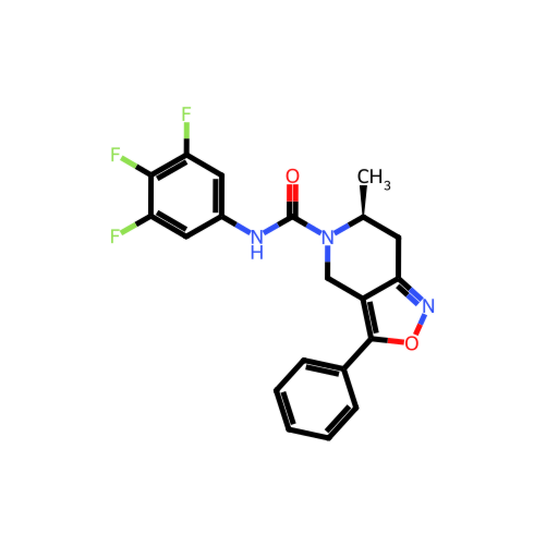 C[C@H]1Cc2noc(-c3ccccc3)c2CN1C(=O)Nc1cc(F)c(F)c(F)c1